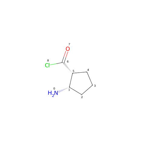 N[C@H]1CCC[C@H]1C(=O)Cl